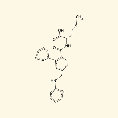 CSCC[C@H](NC(=O)c1ccc(CNc2ccccn2)cc1-c1ccccc1)C(=O)O